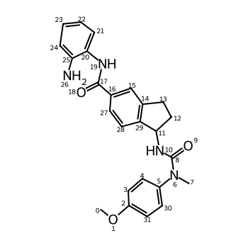 COc1ccc(N(C)C(=O)NC2CCc3cc(C(=O)Nc4ccccc4N)ccc32)cc1